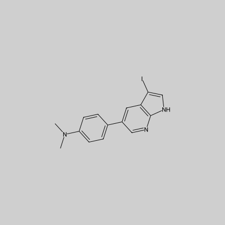 CN(C)c1ccc(-c2cnc3[nH]cc(I)c3c2)cc1